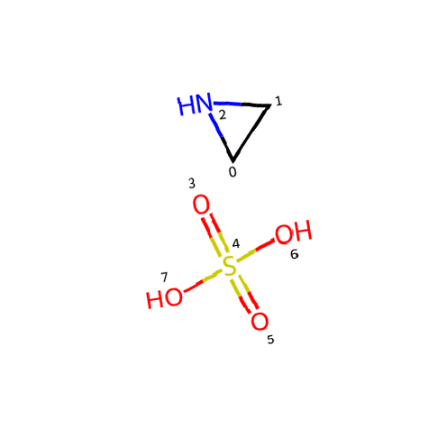 C1CN1.O=S(=O)(O)O